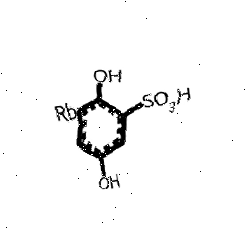 O=S(=O)(O)c1cc(O)ccc1O.[Rb]